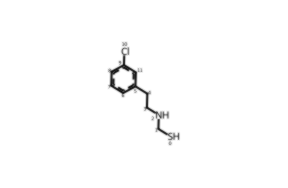 SCNCCc1cccc(Cl)c1